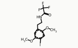 COc1cc(CCNC(=O)C(F)(F)F)c(OC)cc1I